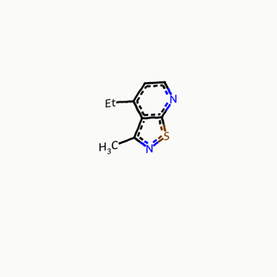 CCc1ccnc2snc(C)c12